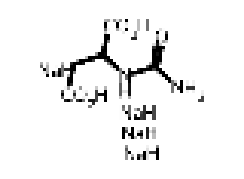 NC(=O)NC(CC(=O)O)C(=O)O.[NaH].[NaH].[NaH].[NaH]